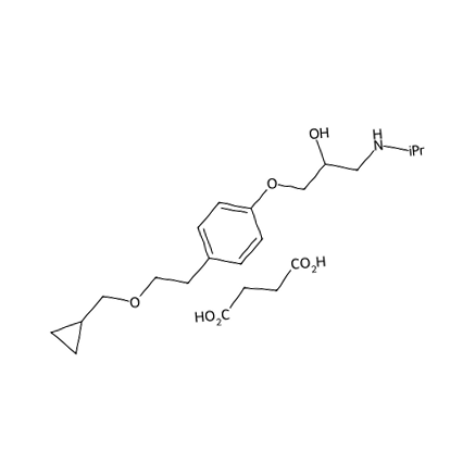 CC(C)NCC(O)COc1ccc(CCOCC2CC2)cc1.O=C(O)CCC(=O)O